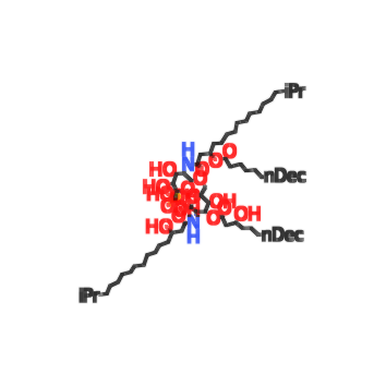 CCCCCCCCCCCCCCCC(=O)OC(CCCCCCCCCCCC(C)C)CC(=O)NC1[C@H](OCC2O[C@H](OP(=O)(O)O)C(NC(=O)CC(O)CCCCCCCCCCCC(C)C)[C@@H](OC(=O)CC(O)CCCCCCCCCCCCC)[C@@H]2O)OC(CO)[C@@H](O)[C@@H]1O